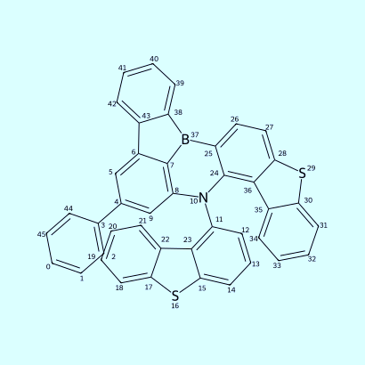 c1ccc(-c2cc3c4c(c2)N(c2cccc5sc6ccccc6c25)c2c(ccc5sc6ccccc6c25)B4c2ccccc2-3)cc1